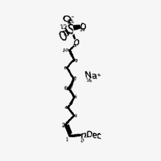 CCCCCCCCCC/C=C\CCCCCCCCOS(=O)(=O)[O-].[Na+]